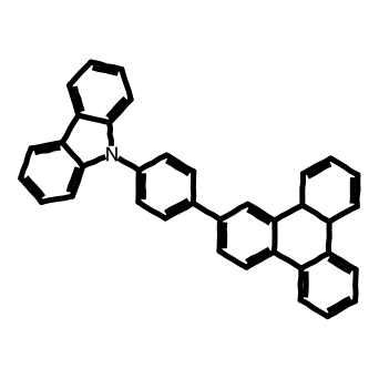 C1=CC2c3ccccc3-c3ccc(-c4ccc(-n5c6ccccc6c6ccccc65)cc4)cc3C2C=C1